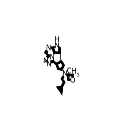 CC1(N(CCC2CC2)[C@@H]2CC(c3nnc4cnc5[nH]ccc5n34)[C@H](I)C2)COC1